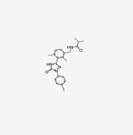 Cc1ccc(CNC(=O)C(C)C)c(C)c1-c1nn(-c2ccc(I)cc2)c(=O)[nH]1